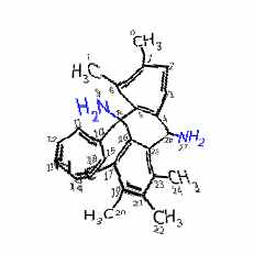 Cc1ccc2c(c1C)C(N)(c1ccccc1)c1c(C)c(C)c(C)c(C)c1C2N